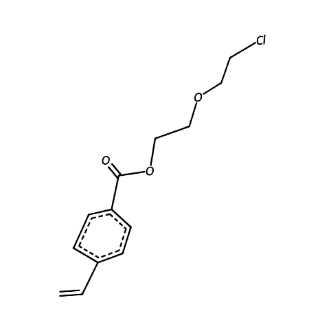 C=Cc1ccc(C(=O)OCCOCCCl)cc1